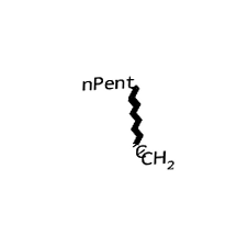 C=C=CCCCCC=CCCCCCC